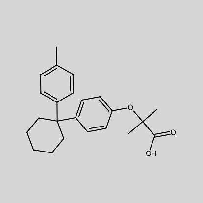 Cc1ccc(C2(c3ccc(OC(C)(C)C(=O)O)cc3)CCCCC2)cc1